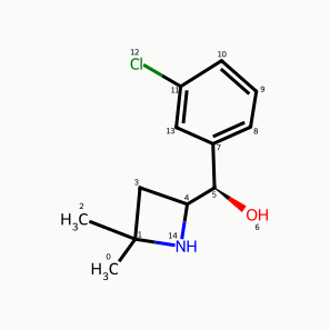 CC1(C)CC([C@H](O)c2cccc(Cl)c2)N1